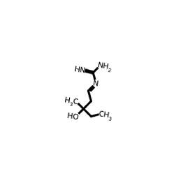 CCC(C)(O)CC=NC(=N)N